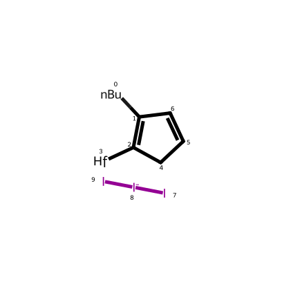 CCCCC1=[C]([Hf])CC=C1.I[I-]I